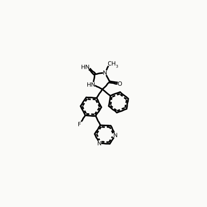 CN1C(=N)NC(c2ccccc2)(c2ccc(F)c(-c3cncnc3)c2)C1=O